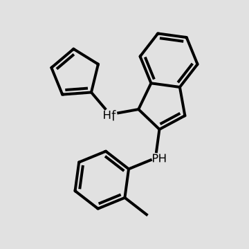 Cc1ccccc1PC1=Cc2ccccc2[CH]1[Hf][C]1=CC=CC1